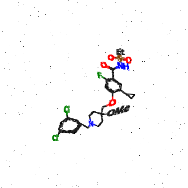 CCS(=O)(=O)NC(=O)c1cc(C2CC2)c(OCC2(OC)CCN(Cc3cc(Cl)cc(Cl)c3)CC2)cc1F